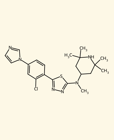 CN(c1nnc(-c2ccc(-n3ccnc3)cc2Cl)s1)C1CC(C)(C)NC(C)(C)C1